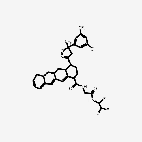 O=C(CNC(=O)C1CCC(C2=NOC(c3cc(Cl)cc(C(F)(F)F)c3)(C(F)(F)F)C2)C2CC3CC4CC=CC=C4C=C3C=C12)NC(F)C(F)F